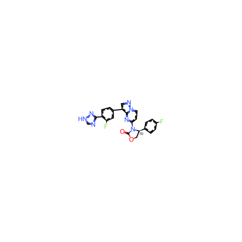 O=C1OC[C@H](c2ccc(F)cc2)N1c1ccn2ncc(-c3ccc(-c4nc[nH]n4)c(F)c3)c2n1